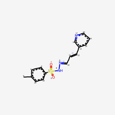 Cc1ccc(S(=O)(=O)N/N=C/C=C/c2cccnc2)cc1